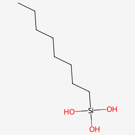 CCCCCCCC[Si](O)(O)O